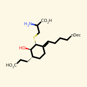 CCCCCCCCCCCCC/C=C1\CC[C@H](CCC(=O)O)[C@@H](O)[C@@H]1SCC(N)C(=O)O